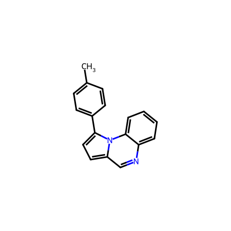 Cc1ccc(-c2ccc3cnc4ccccc4n23)cc1